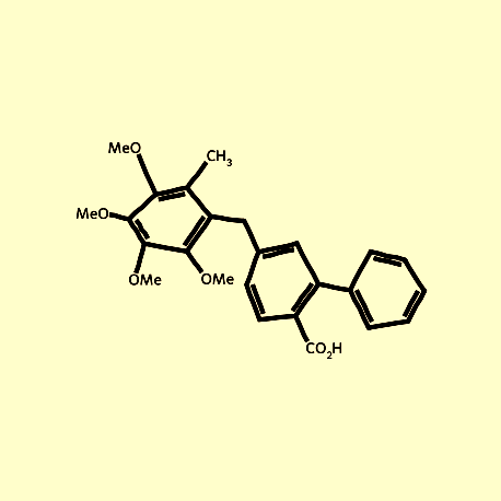 COc1c(C)c(Cc2ccc(C(=O)O)c(-c3ccccc3)c2)c(OC)c(OC)c1OC